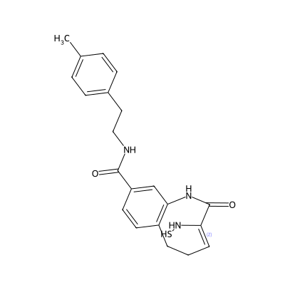 Cc1ccc(CCNC(=O)c2ccc3c(c2)NC(=O)/C(NS)=C/CC3)cc1